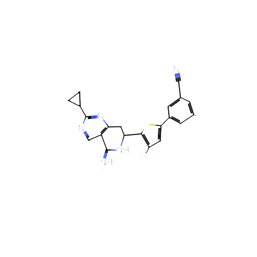 N#Cc1cccc(-c2cc(Cl)c(C3Cc4nc(C5CC5)ncc4C(=N)N3)s2)c1